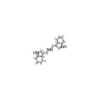 C(=N\N=C\c1c[nH]c2ccccc12)/c1c[nH]c2ccccc12